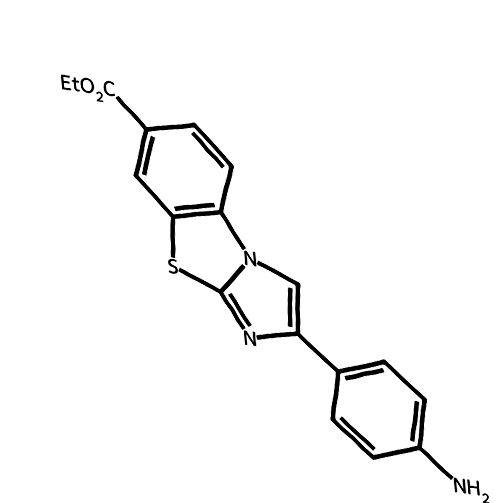 CCOC(=O)c1ccc2c(c1)sc1nc(-c3ccc(N)cc3)cn12